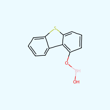 OBOc1cccc2sc3ccccc3c12